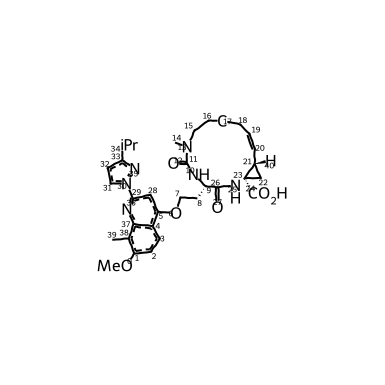 COc1ccc2c(OCC[C@@H]3NC(=O)N(C)CCCC/C=C\[C@@H]4C[C@@]4(C(=O)O)NC3=O)cc(-n3ccc(C(C)C)n3)nc2c1C